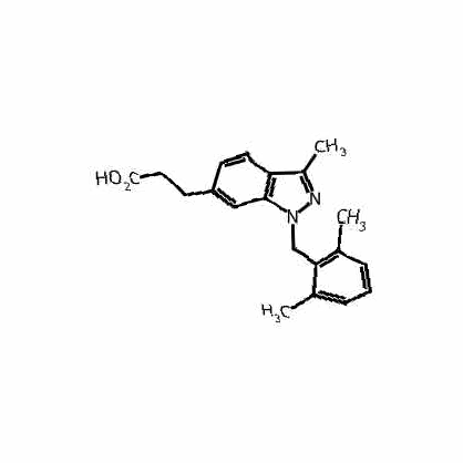 Cc1cccc(C)c1Cn1nc(C)c2ccc(CCC(=O)O)cc21